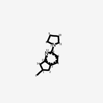 CC1Cc2ccc(N3CCCC3)nc2C1